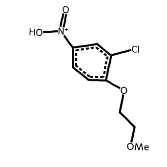 COCCOc1ccc([N+](=O)O)cc1Cl